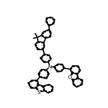 CC1(C)c2ccc(-c3ccc(N(c4ccc(-c5cccc6c5oc5ccccc56)cc4)c4ccc(-c5cccc6sc7ccccc7c56)cc4)cc3)cc2-c2ccc(-c3ccccc3)cc21